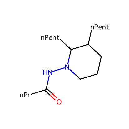 CCCCCC1CCCN(NC(=O)CCC)C1CCCCC